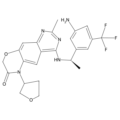 Cc1nc(N[C@H](C)c2cc(N)cc(C(F)(F)F)c2)c2cc3c(cc2n1)OCC(=O)N3C1CCOC1